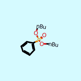 CCCCOP(=O)(OCCCC)c1ccccc1